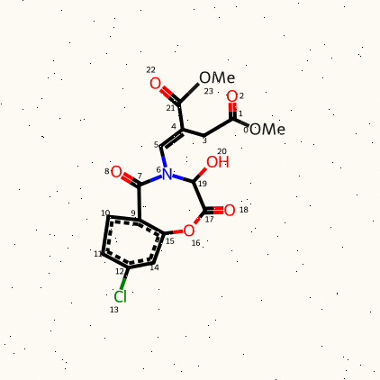 COC(=O)CC(=CN1C(=O)c2ccc(Cl)cc2OC(=O)C1O)C(=O)OC